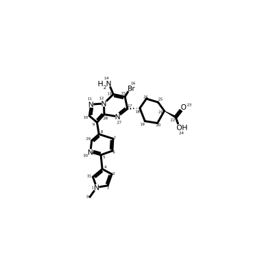 Cn1ccc(-c2ccc(-c3cnn4c(N)c(Br)c([C@H]5CC[C@H](C(=O)O)CC5)nc34)cn2)c1